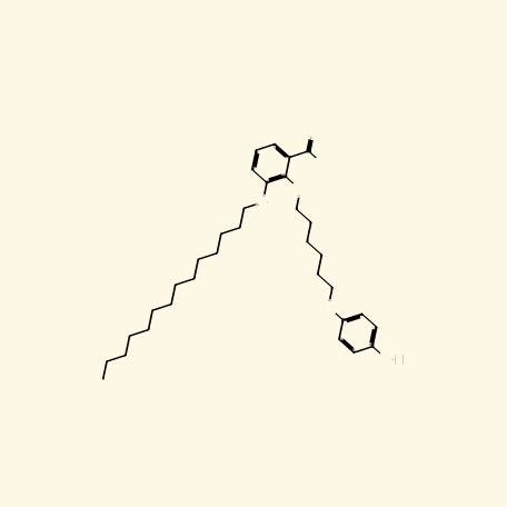 CCCCCCCCCCCCCCOc1cccc(C(=O)O)c1OCCCCCCOc1ccc(O)cc1